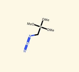 CO[Si](CN=[N+]=[N-])(OC)OC